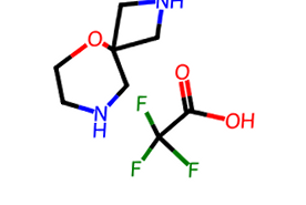 C1COC2(CN1)CNC2.O=C(O)C(F)(F)F